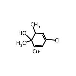 CC1C=C(Cl)C=CC1(C)O.[Cu]